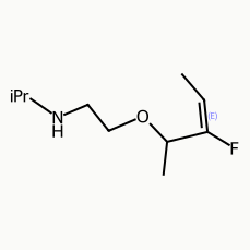 C/C=C(/F)C(C)OCCNC(C)C